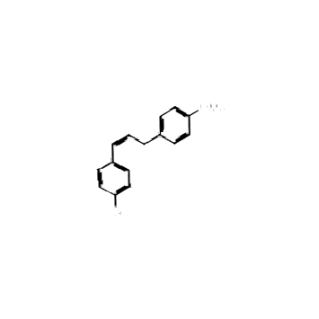 COc1ccc(C/C=C\c2ccc(Br)cc2)cc1